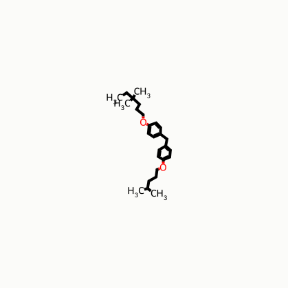 CCC(C)(C)CCCOc1ccc(Cc2ccc(OCCCC(C)C)cc2)cc1